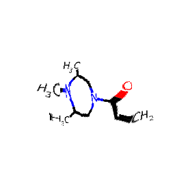 C=CC(=O)N1CC(C)N(C)C(C)C1